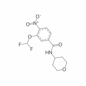 O=C(NC1CCOCC1)c1ccc([N+](=O)[O-])c(OC(F)F)c1